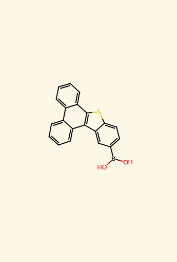 OB(O)c1ccc2sc3c4ccccc4c4ccccc4c3c2c1